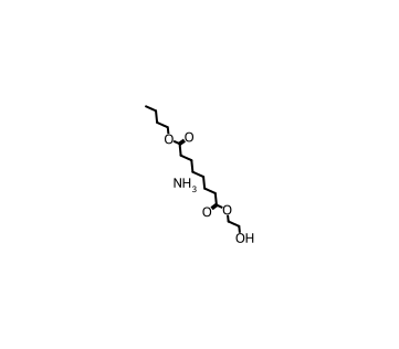 CCCCOC(=O)CCCCCCC(=O)OCCO.N